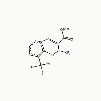 [2H]C(F)(F)c1cccc2c1OC(C(F)(F)F)C(C(=O)OC)=C2